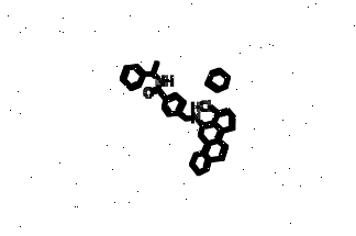 C1=CCCC=C1.CC(NC(=O)c1ccc(CNC2=c3c(Cl)cccc3=c3ccc4c(c3C2)CCCC=4)cc1)c1ccccc1